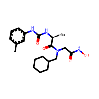 Cc1cccc(NC(=O)N[C@H](C(=O)N(CC(=O)NO)CC2CCCCC2)C(C)(C)C)c1